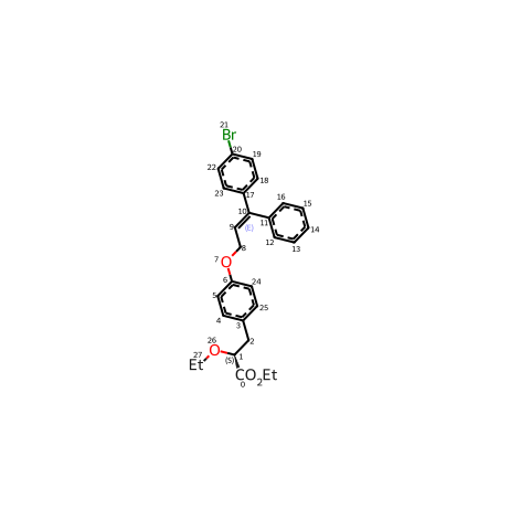 CCOC(=O)[C@H](Cc1ccc(OC/C=C(\c2ccccc2)c2ccc(Br)cc2)cc1)OCC